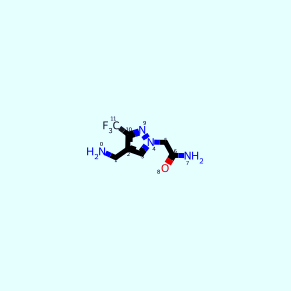 NCc1cn(CC(N)=O)nc1C(F)(F)F